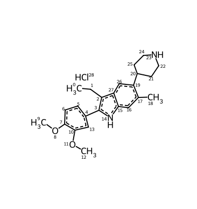 CCc1c(-c2ccc(OC)c(OC)c2)[nH]c2cc(C)c(C3CCNCC3)cc12.Cl